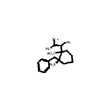 CCCCC(C(C)O)C1(C(=O)O)CCCCC1(Cc1ccccc1)C(=O)O